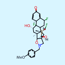 COc1ccc(CN2C[C@@H]3C[C@@]4(C)[C@@H]5C[C@H](F)C6=CC(=O)C=C[C@]6(C)[C@@]5(F)[C@@H](O)C[C@]4(C)[C@]3(C(=O)SCF)O2)cc1